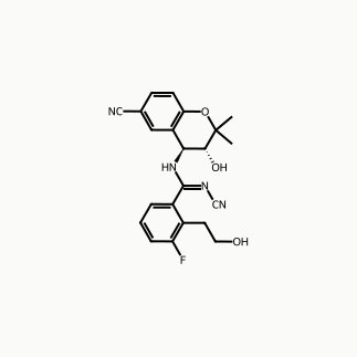 CC1(C)Oc2ccc(C#N)cc2[C@H](NC(=NC#N)c2cccc(F)c2CCO)[C@H]1O